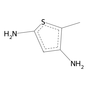 Cc1sc(N)cc1N